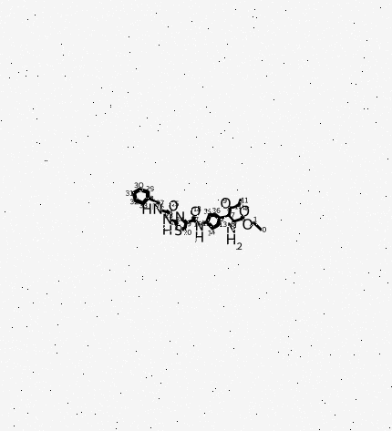 CCOC(=O)C(N)C(C(=O)CC)c1ccc(NC(=O)c2csc(NC(=O)NCc3ccccc3)n2)cc1